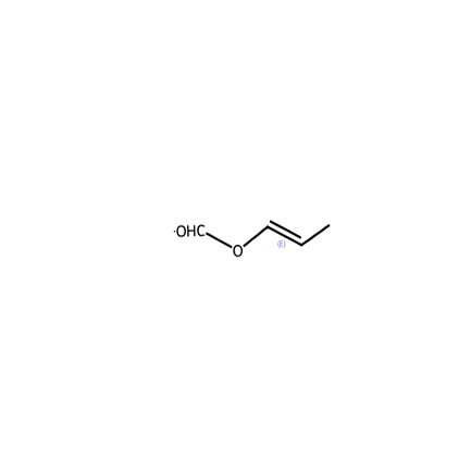 C/C=C/O[C]=O